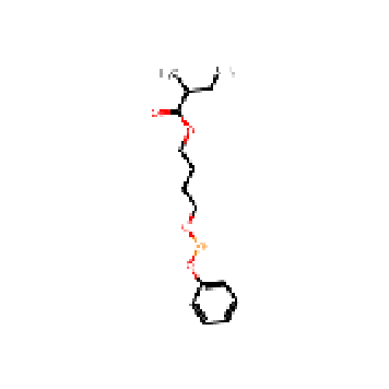 CCC(C)C(=O)OCCCCOPOc1ccccc1